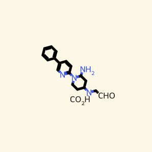 NC1CC(N(CC=O)C(=O)O)CCN1c1ccc(-c2ccccc2)cn1